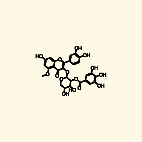 COc1cc(O)cc2oc(-c3ccc(O)c(O)c3)c(OC3OCC(O)C(O)C3OC(=O)c3cc(O)c(O)c(O)c3)c(=O)c12